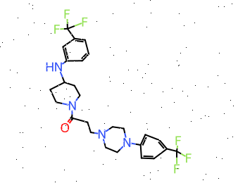 O=C(CCN1CCN(c2ccc(C(F)(F)F)cc2)CC1)N1CCC(Nc2cccc(C(F)(F)F)c2)CC1